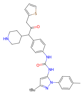 Cc1ccc(-n2nc(C(C)(C)C)cc2NC(=O)Nc2ccc(C(C(=O)Cc3cccs3)C3CCNCC3)cc2)cc1